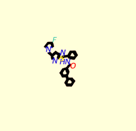 O=C(Nc1ccccc1-c1nc2cc(CN3CC[C@@H](F)C3)cnc2s1)c1cccc(-c2ccccc2)c1